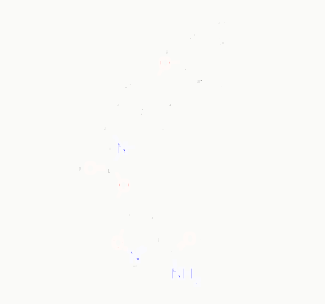 NC(=O)c1cc(COC(=O)N2CCC3(CC2)CC(Oc2cccc(C(F)(F)F)c2)C3)on1